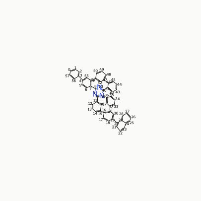 c1ccc(-c2ccc(-c3nc(-c4cccc(-c5ccc(-c6cccc7ccccc67)cc5-c5ccccc5)c4)nc(-c4ccccc4-c4ccccc4)n3)cc2)cc1